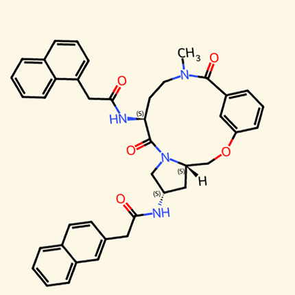 CN1CC[C@H](NC(=O)Cc2cccc3ccccc23)C(=O)N2C[C@@H](NC(=O)Cc3ccc4ccccc4c3)C[C@H]2COc2cccc(c2)C1=O